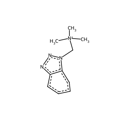 C[N+](C)(C)Cn1nnc2ccccc21